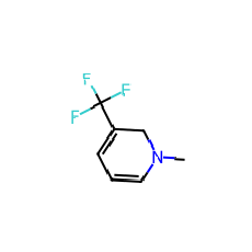 CN1C=CC=C(C(F)(F)F)C1